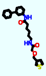 O=C(COCc1ccsc1)NCCCCCC(=O)Nc1cccc(-c2ccccc2)c1